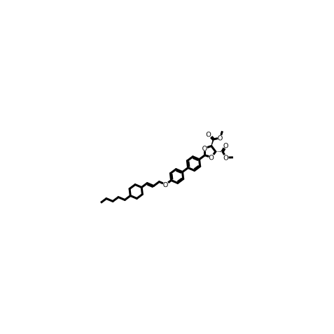 CCCCCC1CCC(C=CCOc2ccc(-c3ccc(C4O[C@@H](C(=O)OC)[C@H](C(=O)OC)O4)cc3)cc2)CC1